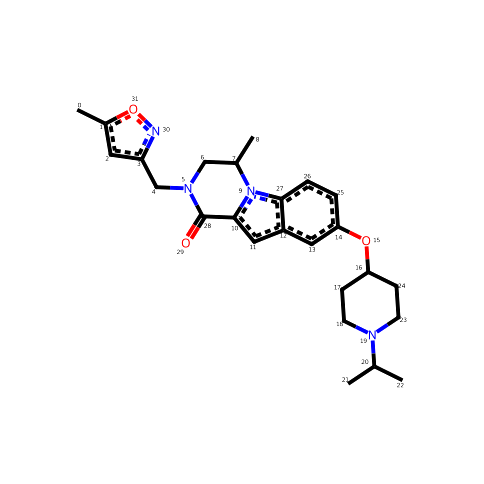 Cc1cc(CN2CC(C)n3c(cc4cc(OC5CCN(C(C)C)CC5)ccc43)C2=O)no1